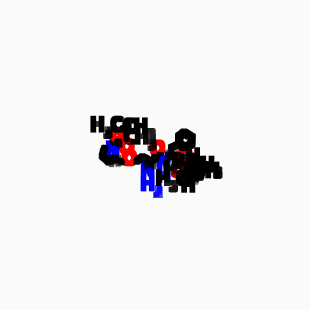 CC(C)(C)OC(=O)N1CCC[C@@H]1COCC[C@H](N)C(=O)N[C@@H](Cc1ccccc1)B1O[C@@H]2C[C@H]3C[C@@H](C3(C)C)[C@]2(C)O1